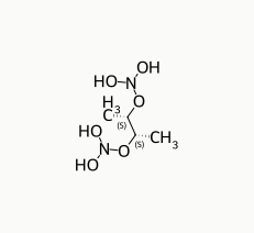 C[C@H](ON(O)O)[C@H](C)ON(O)O